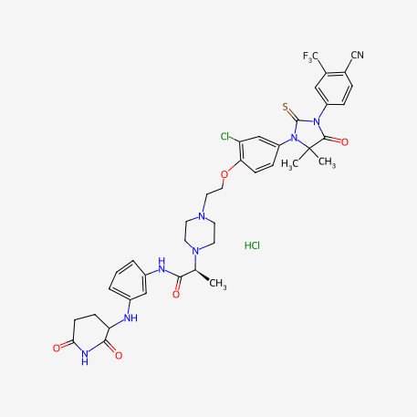 C[C@@H](C(=O)Nc1cccc(NC2CCC(=O)NC2=O)c1)N1CCN(CCOc2ccc(N3C(=S)N(c4ccc(C#N)c(C(F)(F)F)c4)C(=O)C3(C)C)cc2Cl)CC1.Cl